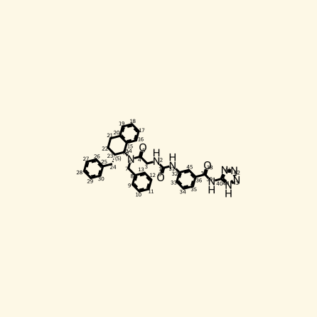 O=C(NCC(=O)N(Cc1ccccc1)[C@@H]1c2ccccc2CC[C@H]1Cc1ccccc1)Nc1cccc(C(=O)Nc2nnn[nH]2)c1